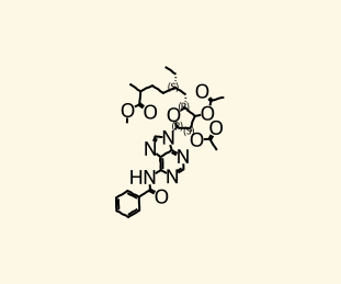 CC[C@@H](CCC(C)C(=O)OC)C[C@H]1O[C@@H](n2cnc3c(NC(=O)c4ccccc4)ncnc32)[C@@H](OC(C)=O)C1OC(C)=O